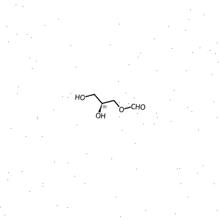 O=COC[C@@H](O)CO